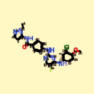 CCn1nccc1NC(=O)c1ccc(Nc2ncc(F)c(Nc3ccc(OC)c(Cl)c3)n2)cc1